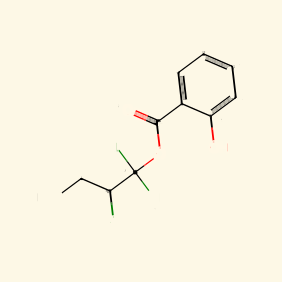 CCC(Cl)C(Cl)(Cl)OC(=O)c1ccccc1O